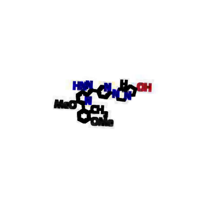 COc1cc2[nH]nc(-c3ccc(N4CCN5CC(O)C[C@H]5C4)nc3)c2nc1-c1cccc(OC)c1C